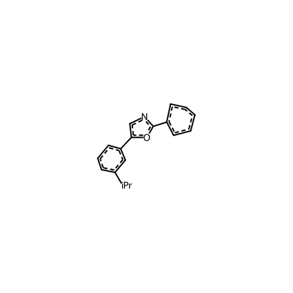 CC(C)c1cccc(-c2cnc(-c3ccccc3)o2)c1